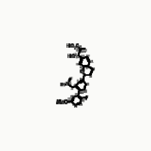 CCN(C)Cc1cc(C2CCc3ccc([C@H](O)[C@H](C)C(=O)O)cc3O2)ccc1-c1cc(OC)ncc1F